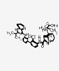 CC(C)c1nc(Nc2cccc(-c3cccc(NC(=O)c4cc5n(n4)CCC[C@@H]5NC(C)(C)C(=O)O)c3Cl)c2Cl)c2ncccc2n1